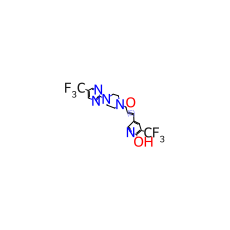 O=C(/C=C/c1cnc(O)c(C(F)(F)F)c1)N1CCN(c2ncc(C(F)(F)F)cn2)CC1